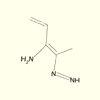 C=C/C(N)=C(\C)N=N